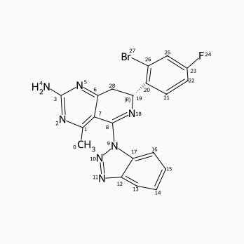 Cc1nc(N)nc2c1C(n1nnc3ccccc31)=N[C@@H](c1ccc(F)cc1Br)C2